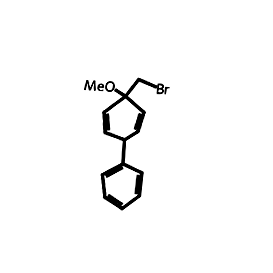 COC1(CBr)C=CC(c2ccccc2)C=C1